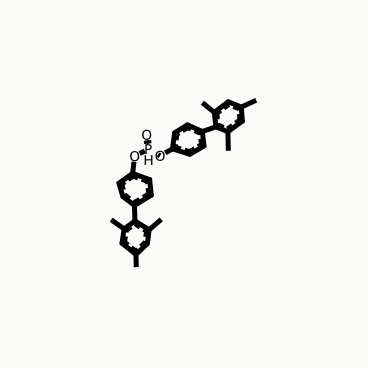 Cc1cc(C)c(-c2ccc(O[PH](=O)Oc3ccc(-c4c(C)cc(C)cc4C)cc3)cc2)c(C)c1